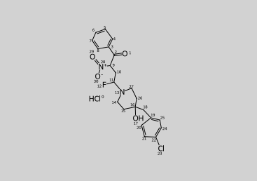 Cl.O=C(c1ccccc1)C(CC(F)N1CCC(O)(Cc2ccc(Cl)cc2)CC1)[N+](=O)[O-]